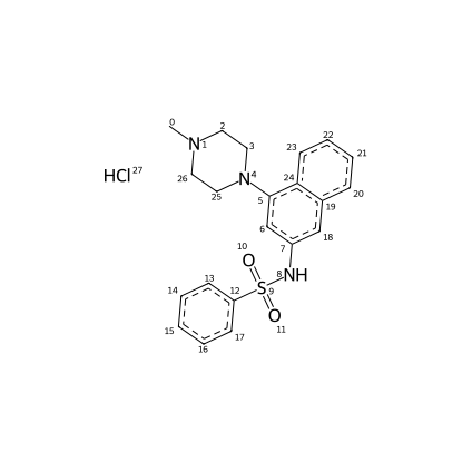 CN1CCN(c2cc(NS(=O)(=O)c3ccccc3)cc3ccccc23)CC1.Cl